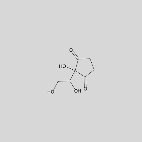 O=C1CCC(=O)C1(O)C(O)CO